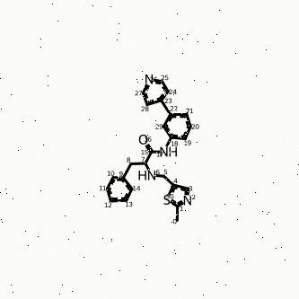 Cc1ncc(CNC(Cc2ccccc2)C(=O)Nc2cccc(-c3ccncc3)c2)s1